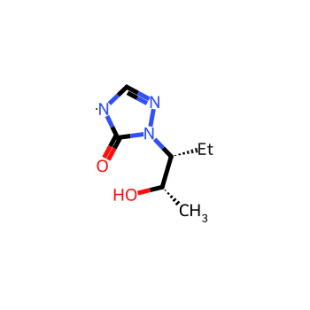 CC[C@H]([C@H](C)O)N1N=C[N]C1=O